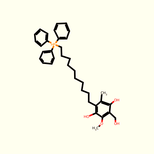 COc1c(O)c(CCCCCCCCCC[PH](c2ccccc2)(c2ccccc2)c2ccccc2)c(C)c(O)c1CO